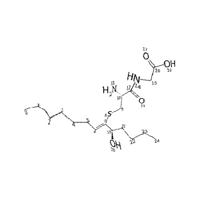 CCCCCCC=C(SC[C@H](N)C(=O)NCC(=O)O)[C@H](O)CCCC